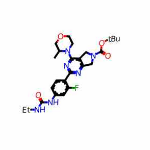 CCNC(=O)Nc1ccc(-c2nc3c(c(N4CCOCC4C)n2)CN(C(=O)OC(C)(C)C)C3)c(F)c1